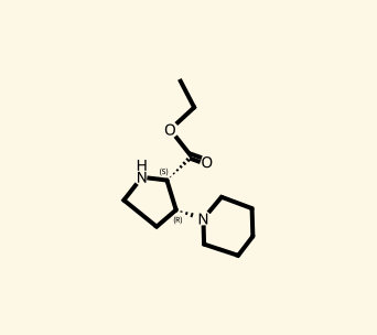 CCOC(=O)[C@H]1NCC[C@H]1N1CCCCC1